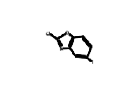 Clc1nc2cc(I)ccc2o1